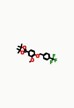 COc1cc(B2OC(C)(C)C(C)(C)O2)ccc1OCc1ccc(C(F)(F)F)cc1